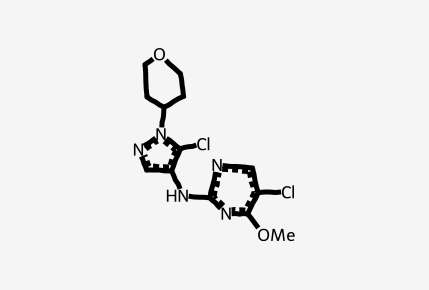 COc1nc(Nc2cnn(C3CCOCC3)c2Cl)ncc1Cl